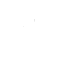 Cc1ccc(C(C(N)=O)N2CCOCC2)c(Cc2ccccc2)c1